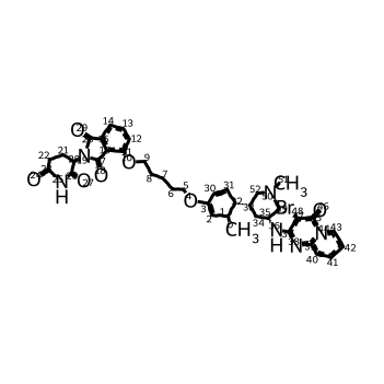 CC1C=C(OCCCCCOc2cccc3c2C(=O)N(C2CCC(=O)NC2=O)C3=O)C=CC1[C@H]1C[C@@H](Nc2nc3ccccn3c(=O)c2Br)CN(C)C1